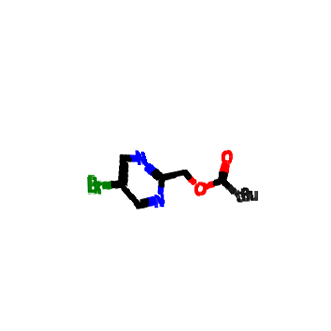 CC(C)(C)C(=O)OCc1ncc(Br)cn1